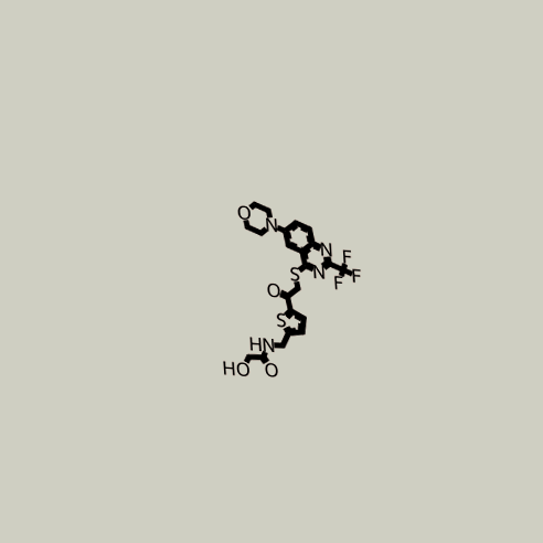 O=C(CO)NCc1ccc(C(=O)CSc2nc(C(F)(F)F)nc3ccc(N4CCOCC4)cc23)s1